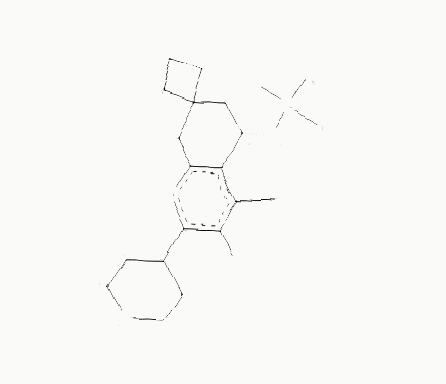 CCOC(=O)c1c(C2CCOCC2)nc2c(c1I)[C@@H](O[Si](C)(C)C(C)(C)C)CC1(CCC1)C2